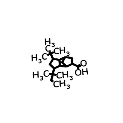 CCC(C)(C)C1CC(C(C)(C)C)C2C3CC(C(=O)O)C(C3)C21